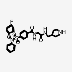 O=C(CNC(=O)c1ccc(S(=O)(=O)N(Oc2ccc(F)cc2)c2ccccc2)cc1)NCC1CCNCC1